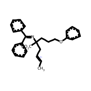 C/C=C/CC(CCCOc1ccccc1)(N=C(c1ccccc1)c1ccccc1)C(=O)O